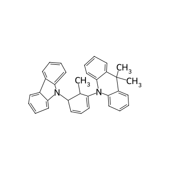 CC1C(N2c3ccccc3C(C)(C)c3ccccc32)=CC=CC1n1c2ccccc2c2ccccc21